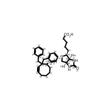 O=C(O)CCCC[C@@H]1SC[C@@H]2NC(=O)N[C@@H]21.O=S(=O)(O)C1CCCCC#CC1(Cc1ccccc1)Cc1ccccc1